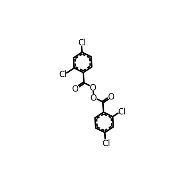 O=C(OOC(=O)c1ccc(Cl)cc1Cl)c1ccc(Cl)cc1Cl